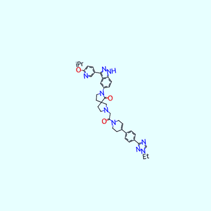 CCn1cnc(-c2ccc(C3=CCN(C(=O)CN4CCC5(CCN(c6ccc7[nH]nc(-c8ccc(OC(C)C)nc8)c7c6)C5=O)C4)CC3)cc2)n1